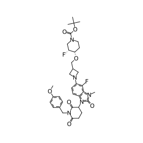 COc1ccc(CN2C(=O)CCC(n3c(=O)n(C)c4c(F)c(N5CC(CO[C@H]6CCN(C(=O)OC(C)(C)C)C[C@H]6F)C5)ccc43)C2=O)cc1